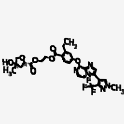 CCc1cc(Oc2nccn3c(-c4cn(C)nc4C(F)(F)F)cnc23)ccc1C(=O)OCCOC(=O)[C@@H]1C[C@](C)(O)CO1